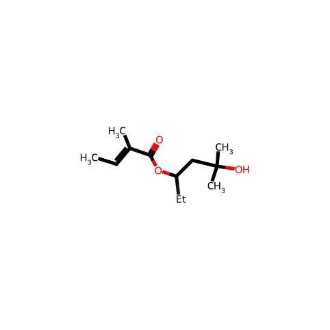 CC=C(C)C(=O)OC(CC)CC(C)(C)O